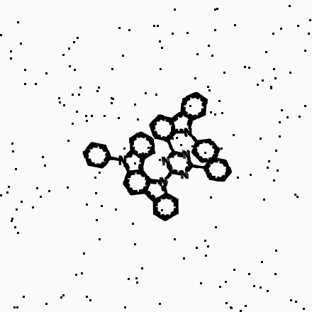 c1ccc(-c2nc(-c3cccc4c5ccccc5n(-c5ccccc5)c34)nc(-n3c4ccccc4c4ccc5c(c6ccccc6n5-c5ccccc5)c43)n2)cc1